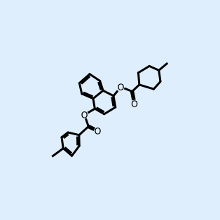 Cc1ccc(C(=O)Oc2ccc(OC(=O)C3CCC(C)CC3)c3ccccc23)cc1